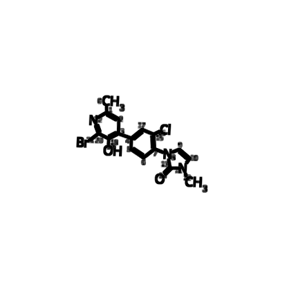 Cc1cc(-c2ccc(-n3ccn(C)c3=O)c(Cl)c2)c(O)c(Br)n1